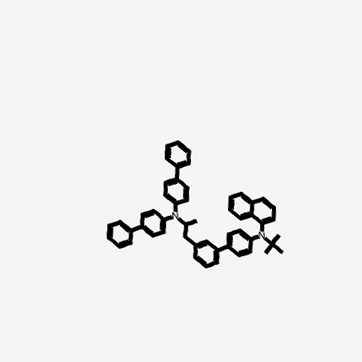 CC(Cc1cccc(-c2ccc(N(c3cccc4ccccc34)C(C)(C)C)cc2)c1)N(c1ccc(-c2ccccc2)cc1)c1ccc(-c2ccccc2)cc1